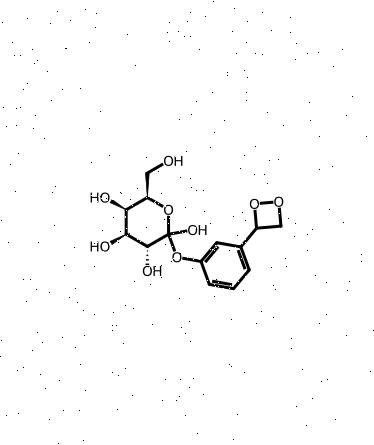 OC[C@H]1OC(O)(Oc2cccc(C3COO3)c2)[C@H](O)[C@@H](O)[C@H]1O